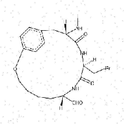 CC(C)C[C@@H]1NC(=O)[C@@H](NI)Cc2ccc(cc2)OCCCC[C@@H](C=O)NC1=O